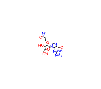 CN(C)C(=O)CCOC1C(O)[C@@H](CO)O[C@H]1n1cnc2c(=O)[nH]c(N)nc21